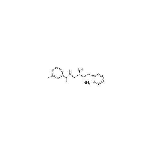 Cc1cccc(C(C)NC[C@@H](O)[C@@H](N)Cc2ccccc2)c1